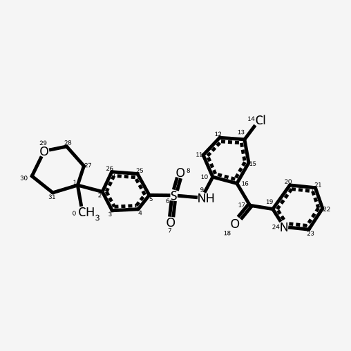 CC1(c2ccc(S(=O)(=O)Nc3ccc(Cl)cc3C(=O)c3ccccn3)cc2)CCOCC1